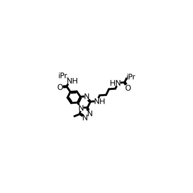 Cc1nnc2c(NCCCCNC(=O)C(C)C)nc3cc(C(=O)NC(C)C)ccc3n12